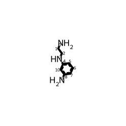 NCCNc1cccc(N)c1